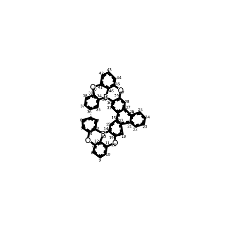 c1ccc2c(c1)Oc1cccc3c1B2c1cc2c(cc1O3)c1ccccc1c1cc3c(cc12)B1c2ccccc2Oc2cccc(c21)O3